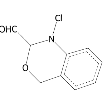 O=CC1OCc2ccccc2N1Cl